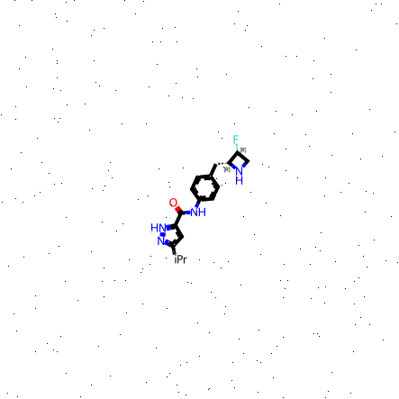 CC(C)c1cc(C(=O)Nc2ccc(C[C@H]3NC[C@H]3F)cc2)[nH]n1